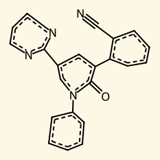 N#Cc1ccccc1-c1cc(-c2ncccn2)cn(-c2ccccc2)c1=O